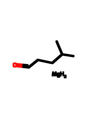 CC(C)CCC=O.[MgH2]